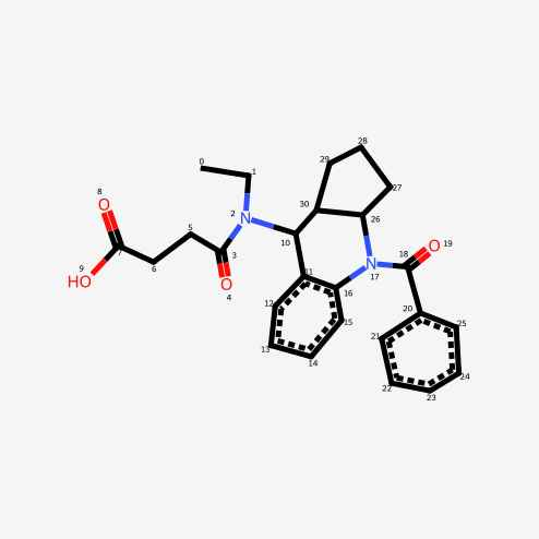 CCN(C(=O)CCC(=O)O)C1c2ccccc2N(C(=O)c2ccccc2)C2CCCC12